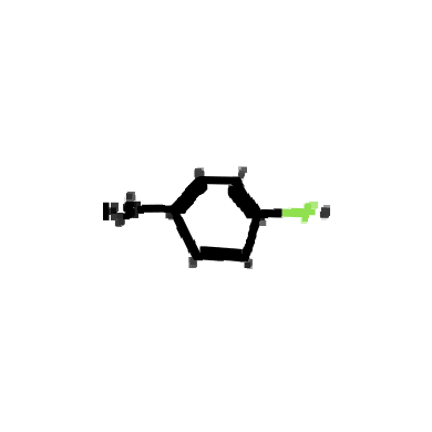 Fc1ccc([SiH3])cc1